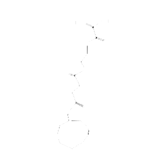 C=C(C)C(=O)OCCOC(=O)CCC(=O)OC1CSCCCCSC1